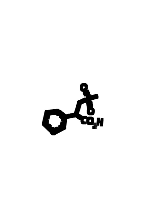 CS(=O)(=O)CC(C(=O)O)c1ccccc1